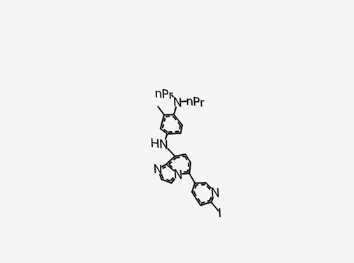 CCCN(CCC)c1ccc(Nc2ccc(-c3ccc(I)nc3)n3ccnc23)cc1C